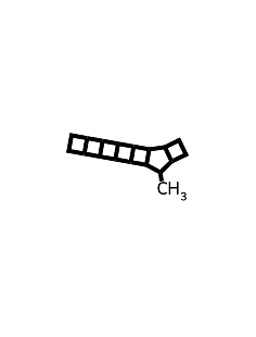 CC1C2CCC2C2C1C1C2C2C3C4CCC4C3C12